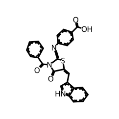 O=C(O)c1ccc(N=C2SC(=Cc3c[nH]c4ccccc34)C(=O)N2C(=O)c2ccccc2)cc1